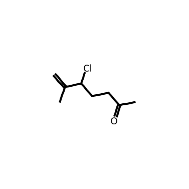 C=C(C)C(Cl)CCC(C)=O